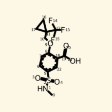 CNS(=O)(=O)c1ccc(OCC2(C(F)(F)F)CC2)c(C(=O)O)c1